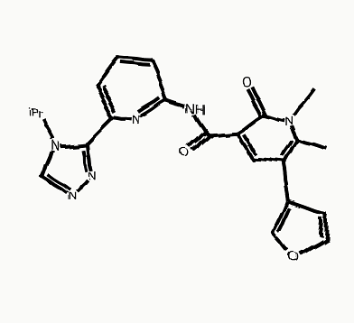 Cc1c(-c2ccoc2)cc(C(=O)Nc2cccc(-c3nncn3C(C)C)n2)c(=O)n1C